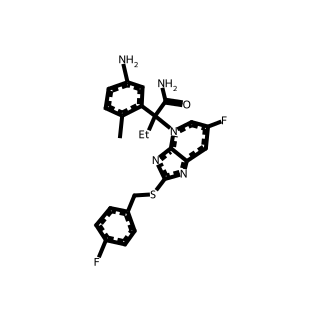 CCC(C(N)=O)(c1cc(N)ccc1C)n1cc(F)cc2nc(SCc3ccc(F)cc3)nc1-2